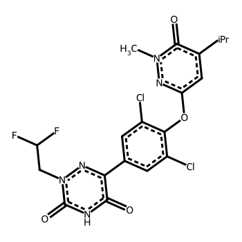 CC(C)c1cc(Oc2c(Cl)cc(-c3nn(CC(F)F)c(=O)[nH]c3=O)cc2Cl)nn(C)c1=O